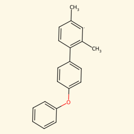 Cc1[c]c(C)c(-c2ccc(Oc3ccccc3)cc2)cc1